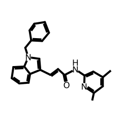 Cc1cc(C)nc(NC(=O)/C=C/c2cn(Cc3ccccc3)c3ccccc23)c1